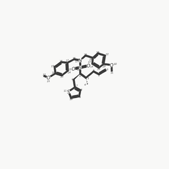 C=CC[C@H](C)[C@@H](Cc1cccs1)S(=O)(=O)N(Cc1ccc(OC)cc1)Cc1ccc(OC)cc1